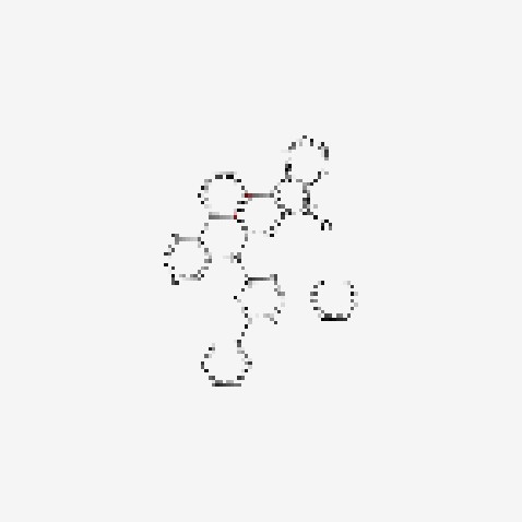 [O-][s+]1c2ccccc2c2ccc(N(c3nc(-c4ccccc4)nc(-c4ccccc4)n3)c3cncnc3-c3ccccc3)cc21